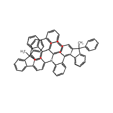 CC1(c2ccccc2)c2ccccc2-c2ccc(N(c3ccccc3-c3cccc4c3-c3ccccc3C4(C)c3ccccc3)c3ccccc3-c3cccc4cccc(-c5ccccc5)c34)cc21